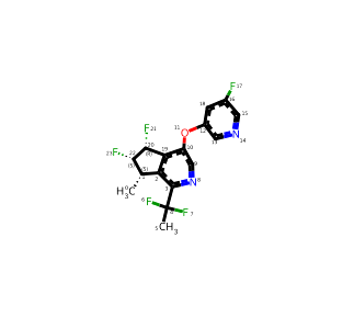 C[C@H]1c2c(C(C)(F)F)ncc(Oc3cncc(F)c3)c2[C@@H](F)[C@H]1F